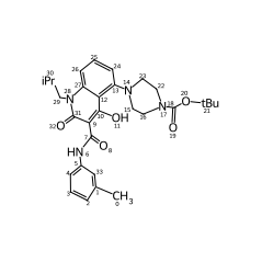 Cc1cccc(NC(=O)c2c(O)c3c(N4CCN(C(=O)OC(C)(C)C)CC4)cccc3n(CC(C)C)c2=O)c1